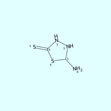 NC1NNC(=S)S1